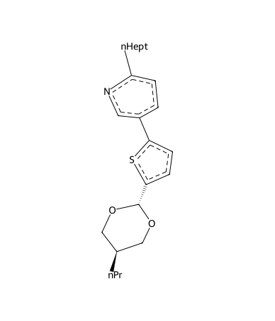 CCCCCCCc1ccc(-c2ccc([C@H]3OC[C@H](CCC)CO3)s2)cn1